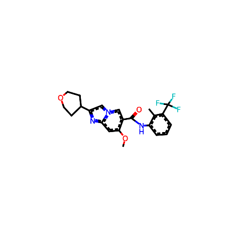 COc1cc2nc(C3CCOCC3)cn2cc1C(=O)Nc1cccc(C(F)(F)F)c1C